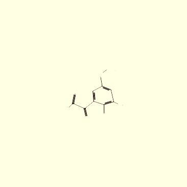 COc1cc(O)c(F)c(C(=O)C(=O)O)c1